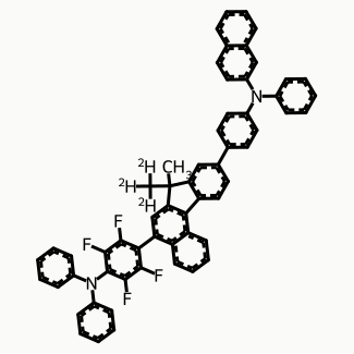 [2H]C([2H])([2H])C1(C)c2cc(-c3ccc(N(c4ccccc4)c4ccc5ccccc5c4)cc3)ccc2-c2c1cc(-c1c(F)c(F)c(N(c3ccccc3)c3ccccc3)c(F)c1F)c1ccccc21